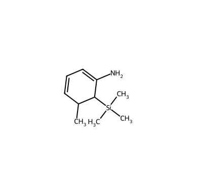 CC1C=CC=C(N)C1[Si](C)(C)C